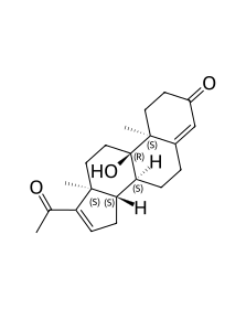 CC(=O)C1=CC[C@H]2[C@@H]3CCC4=CC(=O)CC[C@]4(C)[C@@]3(O)CC[C@]12C